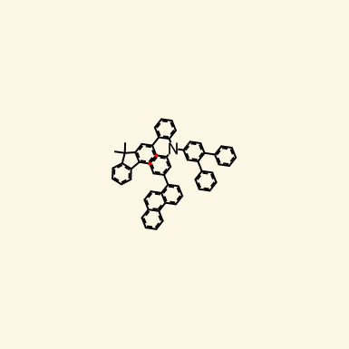 CC1(C)c2ccccc2-c2ccc(-c3ccccc3N(c3cccc(-c4cccc5c4ccc4ccccc45)c3)c3ccc(-c4ccccc4)c(-c4ccccc4)c3)cc21